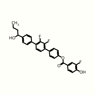 CCCC(O)c1ccc(-c2ccc(-c3ccc(OC(=O)c4ccc(O)c(F)c4)cc3)c(F)c2F)cc1